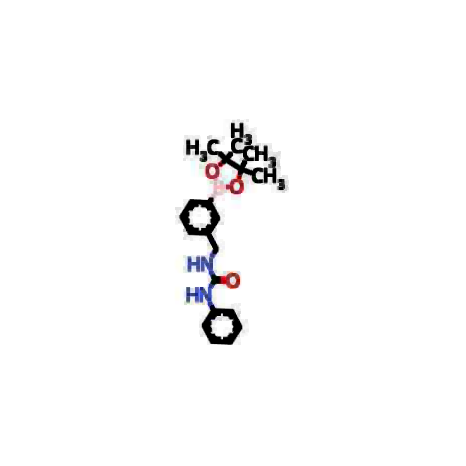 CC1(C)OB(c2cccc(CNC(=O)Nc3ccccc3)c2)OC1(C)C